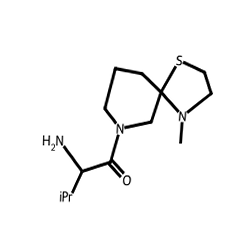 CC(C)C(N)C(=O)N1CCCC2(C1)SCCN2C